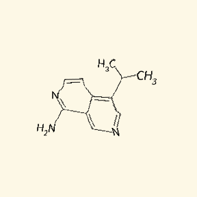 CC(C)c1cncc2c(N)nccc12